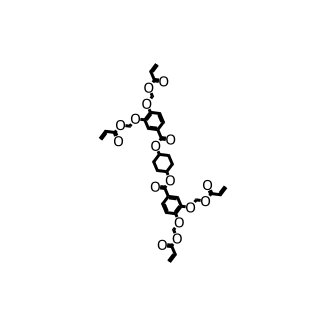 C=CC(=O)OCOc1ccc(C(=O)OC2CCC(OC(=O)c3ccc(OCOC(=O)C=C)c(OCOC(=O)C=C)c3)CC2)cc1OCOC(=O)C=C